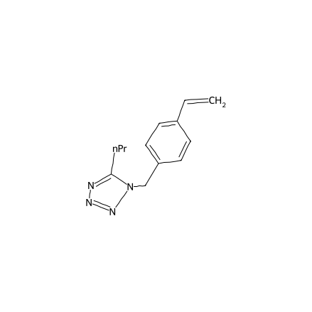 C=Cc1ccc(Cn2nnnc2CCC)cc1